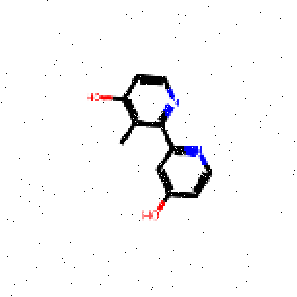 Cc1c(O)ccnc1-c1cc(O)ccn1